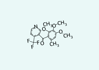 COc1cc(C)c(C(=O)c2cnccc2C(F)(F)F)c(OC)c1OC